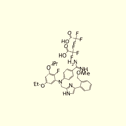 CCOc1cc(OC(C)C)c(F)c(N(Cc2nc(-c3ccccc3COC)c[nH]2)c2ccc(C(=N)N)cc2)c1.O=C(O)C(F)(F)F.O=C(O)C(F)(F)F